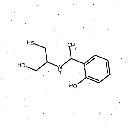 CC(NC(CO)CS)c1ccccc1O